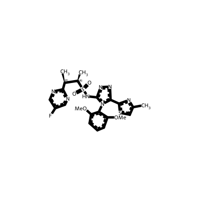 COc1cccc(OC)c1-n1c(NS(=O)(=O)[C@H](C)[C@H](C)c2ncc(F)cn2)nnc1-c1nc(C)cs1